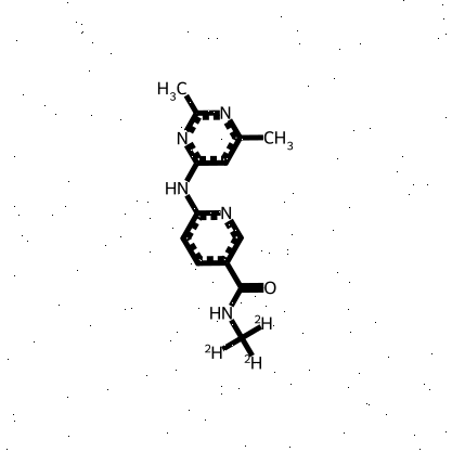 [2H]C([2H])([2H])NC(=O)c1ccc(Nc2cc(C)nc(C)n2)nc1